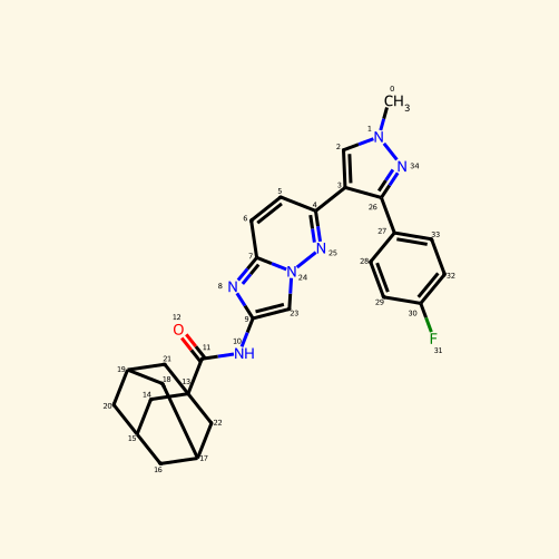 Cn1cc(-c2ccc3nc(NC(=O)C45CC6CC(CC(C6)C4)C5)cn3n2)c(-c2ccc(F)cc2)n1